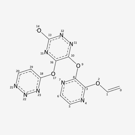 C=COc1nccnc1Oc1nnc([O])nc1Oc1ccnnn1